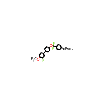 CCCCCc1ccc(C(F)(F)Oc2ccc(-c3ccc(OC(F)(F)F)c(F)c3)cc2)cc1